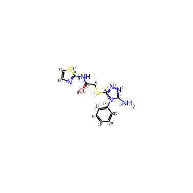 Nc1nnc(SCC(=O)Nc2nccs2)n1-c1ccccc1